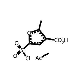 CC(C)=O.Cc1oc(S(=O)(=O)Cl)cc1C(=O)O